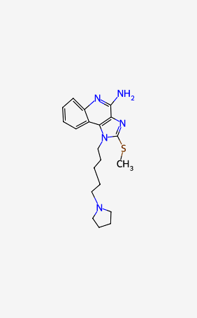 CSc1nc2c(N)nc3ccccc3c2n1CCCCCN1CCCC1